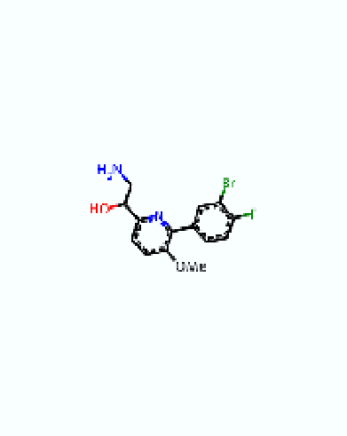 COc1ccc(C(O)CN)nc1-c1ccc(F)c(Br)c1